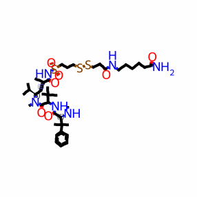 CN[C@H](C(=O)NC(C(=O)N(C)[C@H](/C=C(\C)C(=O)NS(=O)(=O)CCCSSCCC(=O)NCCCCCC(N)=O)C(C)C)C(C)(C)C)C(C)(C)c1ccccc1